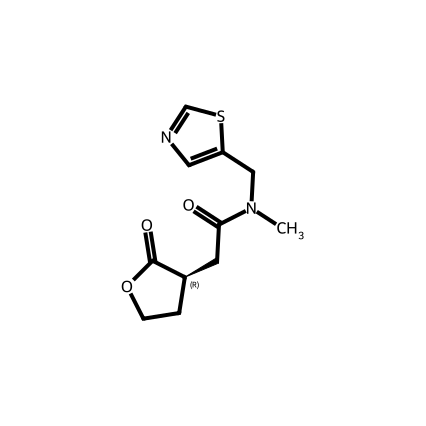 CN(Cc1cncs1)C(=O)C[C@H]1CCOC1=O